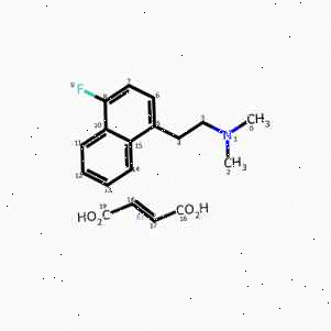 CN(C)CCc1ccc(F)c2ccccc12.O=C(O)/C=C/C(=O)O